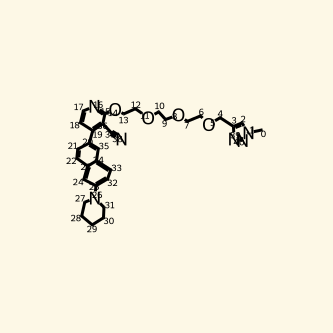 Cn1cc(COCCOCCOCCOc2nccc(-c3ccc4cc(N5CCCCC5)ccc4c3)c2C#N)nn1